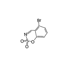 O=S1(=O)N=Cc2c(Br)cccc2O1